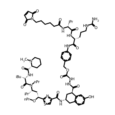 CCCO[C@H](C[C@H](C(C)C)N(CCC)C(=O)[C@@H](NC(=O)[C@H]1CCCCN1C)[C@@H](C)CC)c1nc(C(=O)N[C@H]2Cc3ccc(O)cc3[C@H](C(=O)NNC(=O)OCc3ccc(NC(=O)[C@@H](CCCNC(N)=O)NC(=O)[C@H](NC(=O)CCCCCN4C(=O)C=CC4=O)C(C)C)cc3)C2)cs1